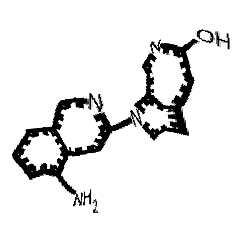 Nc1cccc2cnc(-n3ccc4cc(O)ncc43)cc12